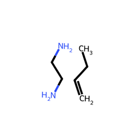 C=CCC.NCCN